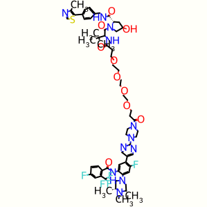 Cc1ncsc1-c1ccc(CNC(=O)[C@@H]2C[C@@H](O)CN2C(=O)[C@@H](NC(=O)CCOCCOCCOCCOCCC(=O)N2CCN(c3ncc(-c4cc(NC(=O)c5ccc(F)cc5C(F)(F)F)c(N5C[C@@H](C)N(C)[C@@H](C)C5)cc4F)cn3)CC2)C(C)(C)C)cc1